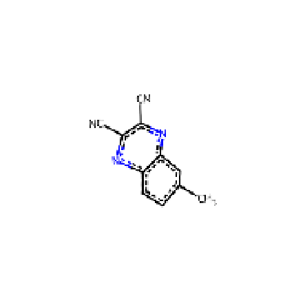 Cc1ccc2nc(C#N)c(C#N)nc2c1